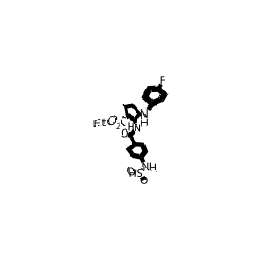 CCOC(=O)C1=C(NC(=O)c2ccc(N[SH](=O)=O)cc2)C(Nc2ccc(F)cc2)CC1